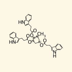 C[C@@H]1C[C@H](OC(=O)CCc2c[nH]c3ccccc23)C[C@H](OC(=O)CCc2c[nH]c3ccccc23)[C@@H]1OC(=O)CCc1c[nH]c2ccccc12